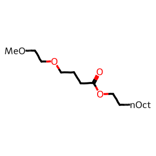 CCCCCCCCCCOC(=O)CCCOCCOC